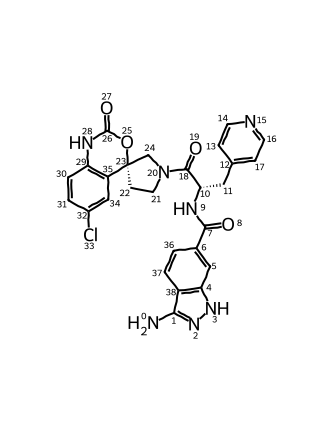 Nc1n[nH]c2cc(C(=O)N[C@@H](Cc3ccncc3)C(=O)N3CC[C@@]4(C3)OC(=O)Nc3ccc(Cl)cc34)ccc12